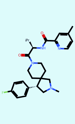 Cc1ccnc(C(=O)N[C@@H](C(=O)N2CCC3(CC2)CN(C)C[C@@H]3c2ccc(F)cc2)C(C)C)c1